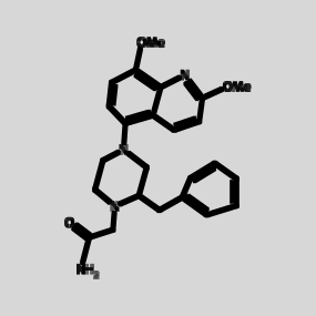 COc1ccc2c(N3CCN(CC(N)=O)C(Cc4ccccc4)C3)ccc(OC)c2n1